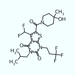 CC(C)Cn1c(=O)c2c(C(F)F)c(C(=O)N3CCC(C)(O)CC3)sc2n(CCC(F)(F)F)c1=O